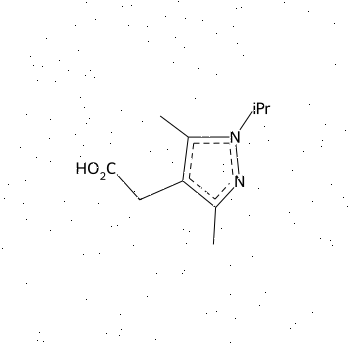 Cc1nn(C(C)C)c(C)c1CC(=O)O